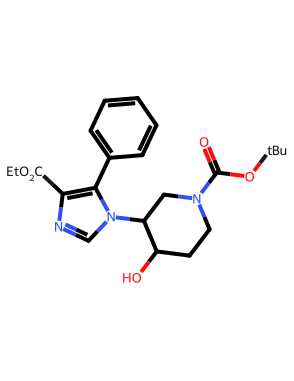 CCOC(=O)c1ncn(C2CN(C(=O)OC(C)(C)C)CCC2O)c1-c1ccccc1